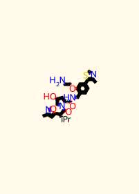 Cc1cc(C(C(=O)N2C[C@H](O)C[C@H]2C(=O)NCc2ccc(-c3scnc3C)cc2OCCN)C(C)C)on1